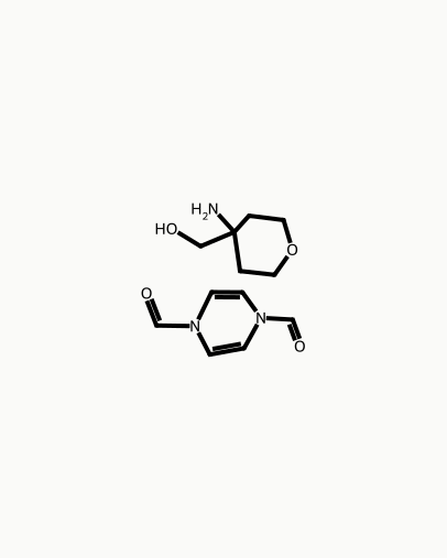 NC1(CO)CCOCC1.O=CN1C=CN(C=O)C=C1